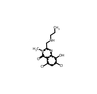 CCCNCc1nc2c(O)c(Cl)cc(Cl)c2c(=O)n1C